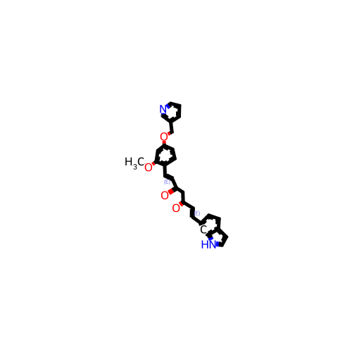 COc1cc(OCc2cccnc2)ccc1/C=C/C(=O)CC(=O)/C=C/c1ccc2cc[nH]c2c1